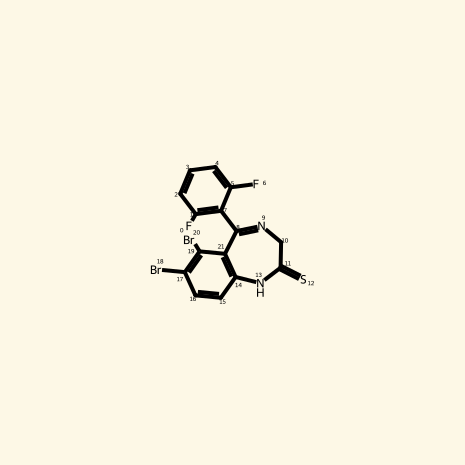 Fc1cccc(F)c1C1=NCC(=S)Nc2ccc(Br)c(Br)c21